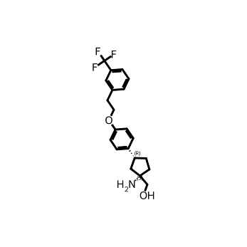 N[C@@]1(CO)CC[C@@H](c2ccc(OCCc3cccc(C(F)(F)F)c3)cc2)C1